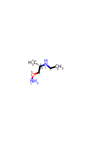 CCN[C@@H](C)CON